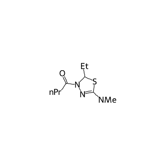 CCCC(=O)N1N=C(NC)SC1CC